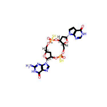 Nc1nc2c(ncn2[C@@H]2O[C@@H]3CO[P@@](=O)(S)O[C@H]4C[C@H](n5ccc6c(=O)[nH]cnc65)O[C@@H]4CO[P@@](=O)(S)O[C@@H]2C3)c(=O)[nH]1